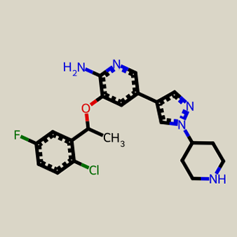 CC(Oc1cc(-c2cnn(C3CCNCC3)c2)cnc1N)c1cc(F)ccc1Cl